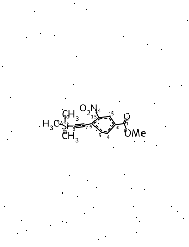 COC(=O)c1ccc(C#C[Si](C)(C)C)c([N+](=O)[O-])c1